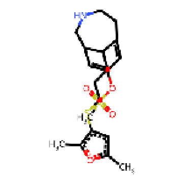 Cc1cc(SCCCC2C3=CC(OS(C)(=O)=O)=CC2CNCC3)c(C)o1